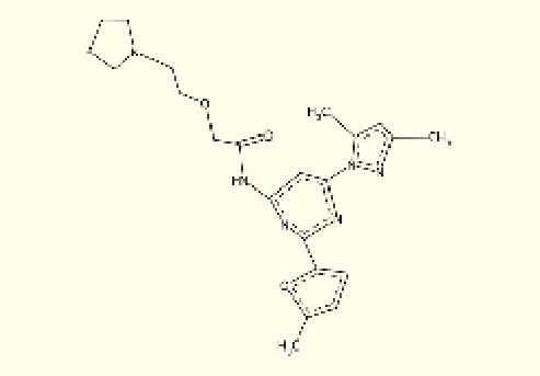 Cc1cc(C)n(-c2cc(NC(=O)COCCN3CCCC3)nc(-c3ccc(C)o3)n2)n1